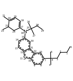 CCCCC(C)(C)c1ccc2sc3ccc(N(C4=CC=C(C)C(C)C4)C(C)(C)CC)cc3c2c1